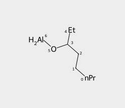 CCCCCC(CC)[O][AlH2]